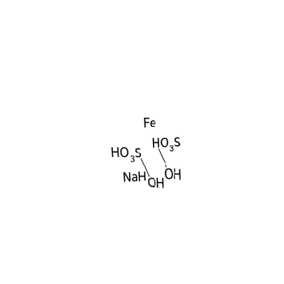 O=S(=O)(O)O.O=S(=O)(O)O.[Fe].[NaH]